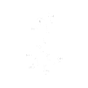 C[C@H](O)C(CO)OCCOC1OC(CO)C(O)C(O)C1O